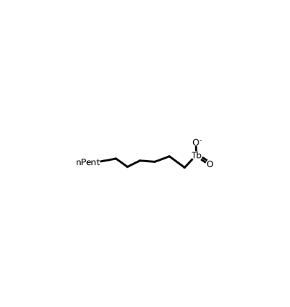 CCCCCCCCCC[CH2][Tb](=[O])[O-]